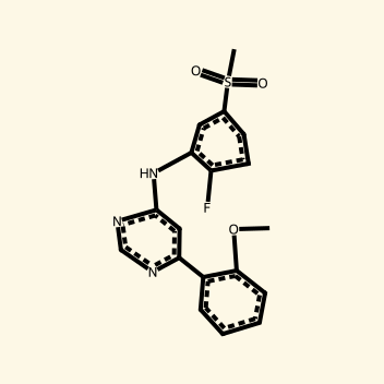 COc1ccccc1-c1cc(Nc2cc(S(C)(=O)=O)ccc2F)ncn1